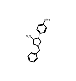 COc1ccc([C@@H]2CN(Cc3ccccc3)C[C@H]2[N+](=O)[O-])cc1